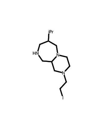 CC(C)C1CNCC2CN(CCI)CCN2C1